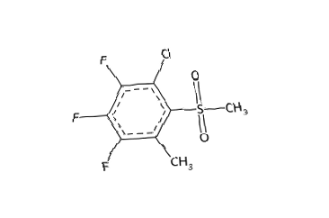 Cc1c(F)c(F)c(F)c(Cl)c1S(C)(=O)=O